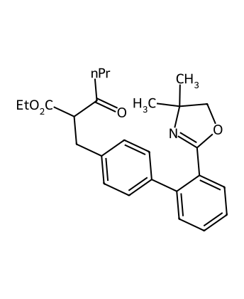 CCCC(=O)C(Cc1ccc(-c2ccccc2C2=NC(C)(C)CO2)cc1)C(=O)OCC